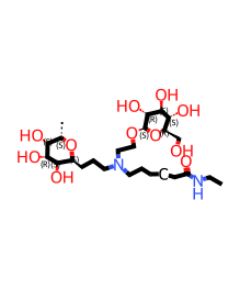 CCNC(=O)CCCCCN(CCC[C@@H]1O[C@@H](C)[C@@H](O)[C@@H](O)[C@@H]1O)CCO[C@H]1O[C@H](CO)[C@@H](O)[C@H](O)[C@H]1O